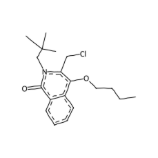 CCCCOc1c(CCl)n(CC(C)(C)C)c(=O)c2ccccc12